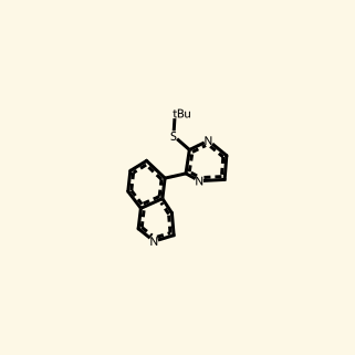 CC(C)(C)Sc1nccnc1-c1cccc2cnccc12